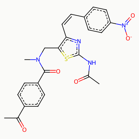 CC(=O)Nc1nc(/C=C\c2ccc([N+](=O)[O-])cc2)c(CN(C)C(=O)c2ccc(C(C)=O)cc2)s1